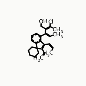 C=CC1=C(/C=C\C)c2c(C(=C/C)/C(CO)=C(\C)Cl)cccc2C12CCCCC2